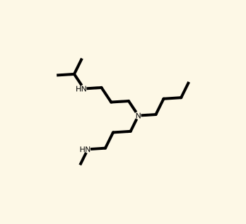 CCCCN(CCCNC)CCCNC(C)C